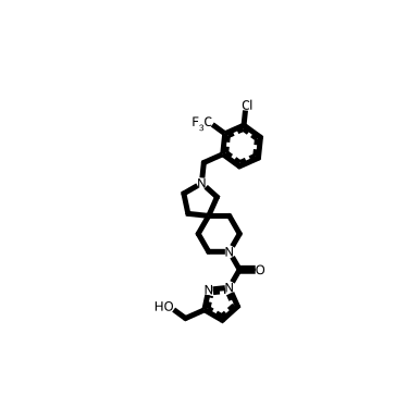 O=C(N1CCC2(CCN(Cc3cccc(Cl)c3C(F)(F)F)C2)CC1)n1ccc(CO)n1